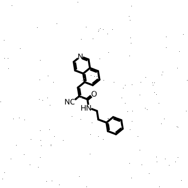 N#CC(=Cc1cccc2cnccc12)C(=O)NCCc1ccccc1